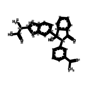 CC(=O)c1cccc(N2C(=O)c3ccccc3C2(O)c2ccc3[nH]c(N(C)C(=O)O)nc3c2)c1